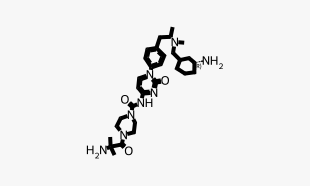 CC(Cc1ccc(-n2ccc(NC(=O)N3CCN(C(=O)C(C)(C)N)CC3)nc2=O)cc1)N(C)CC1CCC[C@@H](N)C1